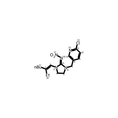 CCCC/C(=C/N1CCN(Cc2ccc(Cl)nc2)/C1=N/[N+](=O)[O-])CC